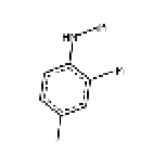 Cc1ccc(NC(C)C)c(C(C)C)c1